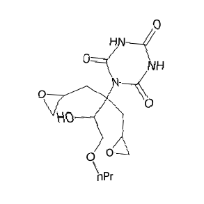 CCCOCC(O)C(CC1CO1)(CC1CO1)n1c(=O)[nH]c(=O)[nH]c1=O